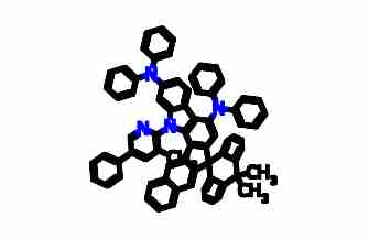 Cc1cc(-c2ccccc2)cnc1-n1c2cc(N(c3ccccc3)c3ccccc3)ccc2c2c(N(c3ccccc3)c3ccccc3)cc3c(c21)-c1cc2ccccc2cc1C31c2ccccc2C(C)(C)c2ccccc21